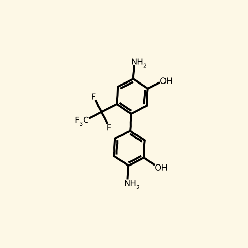 Nc1ccc(-c2cc(O)c(N)cc2C(F)(F)C(F)(F)F)cc1O